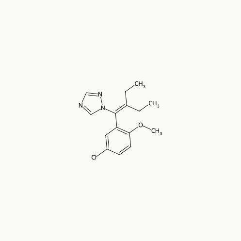 CCC(CC)=C(c1cc(Cl)ccc1OC)n1cncn1